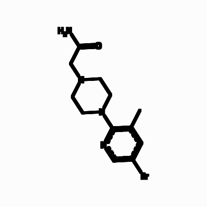 Cc1cc(Br)cnc1N1CCN(CC(N)=O)CC1